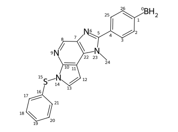 Bc1ccc(-c2nc3cnc4c(ccn4Sc4ccccc4)c3n2C)cc1